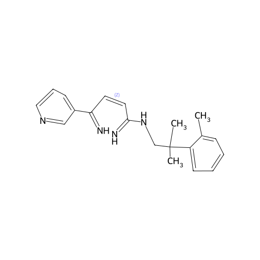 Cc1ccccc1C(C)(C)CNC(=N)/C=C\C(=N)c1cccnc1